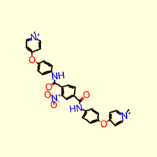 C[n+]1ccc(Oc2ccc(NC(=O)c3ccc(C(=O)Nc4ccc(Oc5cc[n+](C)cc5)cc4)c([N+](=O)[O-])c3)cc2)cc1